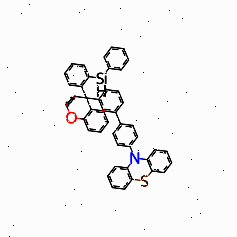 c1ccc([SiH]2c3ccccc3C3(c4ccccc4Oc4ccccc43)c3cc(-c4ccc(N5c6ccccc6Sc6ccccc65)cc4)ccc32)cc1